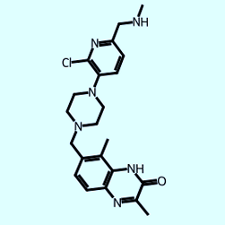 CNCc1ccc(N2CCN(Cc3ccc4nc(C)c(=O)[nH]c4c3C)CC2)c(Cl)n1